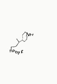 CCCCCCCC(C)C1CCNCC1